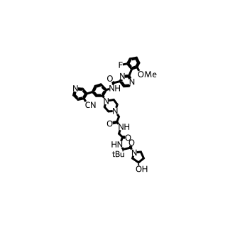 COc1cccc(F)c1-c1nccc(C(=O)Nc2ccc(-c3cnccc3C#N)cc2N2CCN(CC(=O)NCC(=O)N[C@H](C(=O)N3CC[C@@H](O)C3)C(C)(C)C)CC2)n1